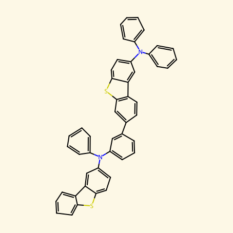 c1ccc(N(c2cccc(-c3ccc4c(c3)sc3ccc(N(c5ccccc5)c5ccccc5)cc34)c2)c2ccc3sc4ccccc4c3c2)cc1